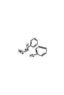 SS.Sc1ccccc1.Sc1ccccc1